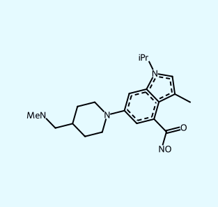 CNCC1CCN(c2cc(C(=O)N=O)c3c(C)cn(C(C)C)c3c2)CC1